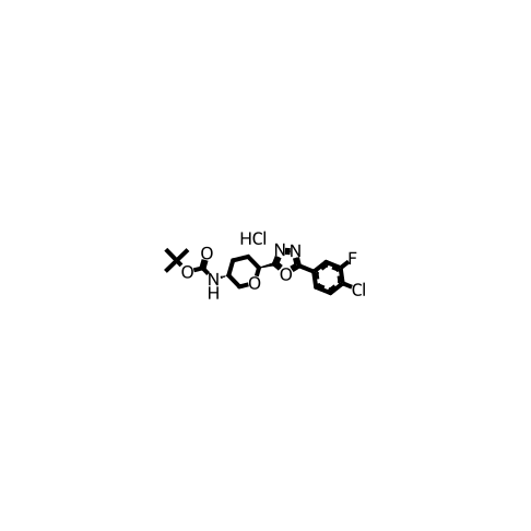 CC(C)(C)OC(=O)N[C@@H]1CC[C@@H](c2nnc(-c3ccc(Cl)c(F)c3)o2)OC1.Cl